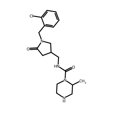 CC1CNCCN1C(=O)NCC1CC(=O)N(Cc2ccccc2Cl)C1